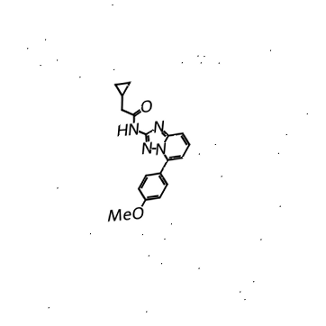 COc1ccc(-c2cccc3nc(NC(=O)CC4CC4)nn23)cc1